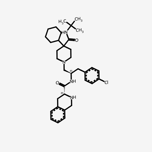 CC(C)(C)NC(=O)C1(C2CCCCC2)CCN(C[C@@H](Cc2ccc(Cl)cc2)NC(=O)[C@H]2Cc3ccccc3CN2)CC1